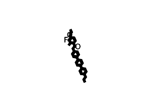 CCCc1ccc(-c2ccc(-c3ccc(CC(=O)c4ccc(OCC)c(F)c4C)cc3)cc2)cc1